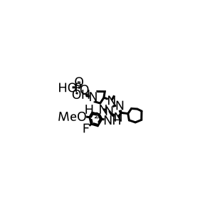 COc1ccc(NC2=NC(C3CCCCCC3)=NC(N(C)C3CCN(COP(=O)(O)O)CC3)N2N)cc1F